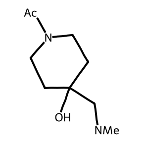 CNCC1(O)CCN(C(C)=O)CC1